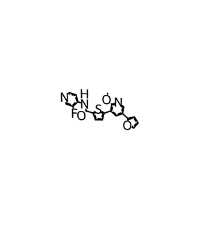 COc1ncc(-c2ccco2)cc1-c1ccc(C(=O)Nc2ccncc2F)s1